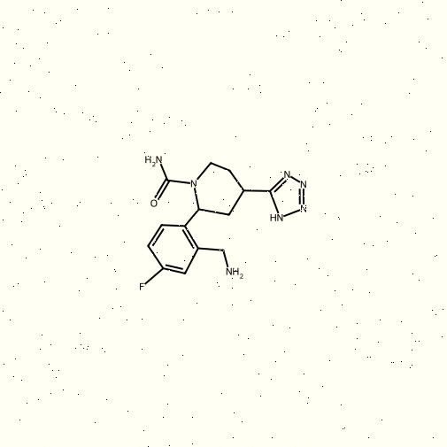 NCc1cc(F)ccc1C1CC(c2nnn[nH]2)CCN1C(N)=O